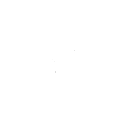 CC1(Oc2ccc(C(O)c3ccc(OC4(C)C5CC6CC(C5)CC4C6)cc3)cc2)C2CC3CC(C2)CC1C3